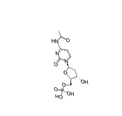 CC(=O)Nc1ccn([C@H]2C[C@H](O)[C@@H](COP(=O)(O)O)O2)c(=O)n1